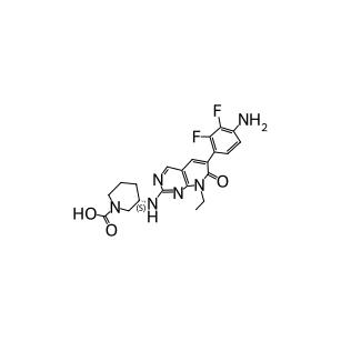 CCn1c(=O)c(-c2ccc(N)c(F)c2F)cc2cnc(N[C@H]3CCCN(C(=O)O)C3)nc21